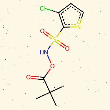 CC(C)(C)C(=O)ONS(=O)(=O)c1sccc1Cl